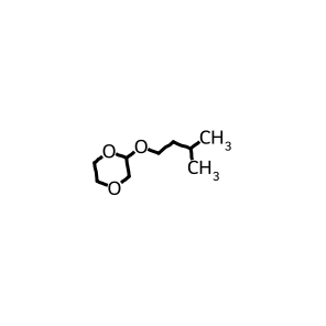 CC(C)CCOC1COCCO1